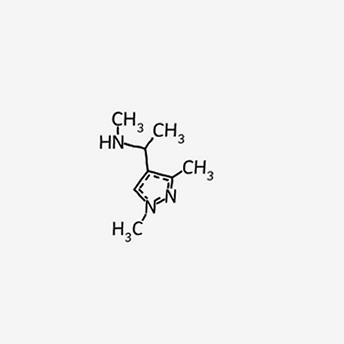 CNC(C)c1cn(C)nc1C